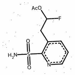 CC(=O)OC(F)Cc1cccnc1S(N)(=O)=O